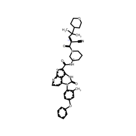 Cc1cc(Oc2ccccc2)ccc1N1C(=O)Nc2c(C(=O)N[C@@H]3CCCN(C(=O)/C(C#N)=C/C(C)(C)C4CCOCC4)C3)sc3nccc1c23